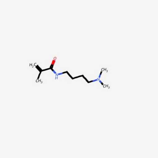 C=C(C)C(=O)NCCCCN(C)C